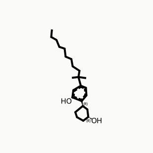 CCCCCCCCCC(C)(C)c1ccc([C@@H]2CCC[C@@H](O)C2)c(O)c1